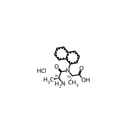 C[C@H](N)C(=O)N(c1cccc2ccccc12)[C@@H](C)C(=O)O.Cl